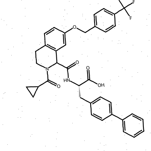 O=C(N[C@@H](Cc1ccc(-c2ccccc2)cc1)C(=O)O)C1c2cc(OCc3ccc(C(F)(F)F)cc3)ccc2CCN1C(=O)C1CC1